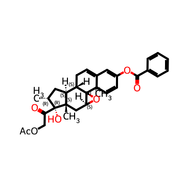 CC(=O)OCC(=O)[C@@]1(O)[C@H](C)C[C@H]2[C@@H]3CC=C4C=C(OC(=O)c5ccccc5)C=C[C@]4(C)[C@@]34O[C@H]4C[C@@]21C